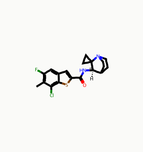 Cc1c(F)cc2cc(C(=O)N[C@@H]3C4CCN(CC4)C34CC4)sc2c1Cl